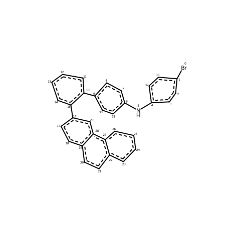 Brc1ccc(Nc2ccc(-c3ccccc3-c3ccc4ccc5ccccc5c4c3)cc2)cc1